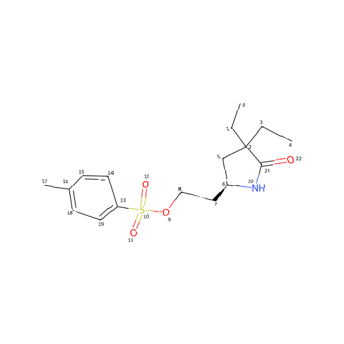 CCC1(CC)C[C@H](CCOS(=O)(=O)c2ccc(C)cc2)NC1=O